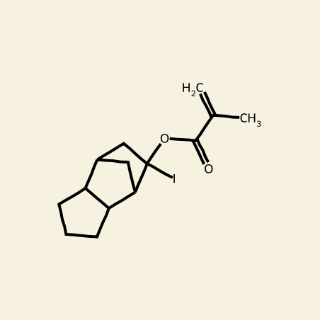 C=C(C)C(=O)OC1(I)CC2CC1C1CCCC21